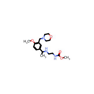 COC(=O)NCCNC(C)c1ccc(OC)c(CN2CCOCC2)c1